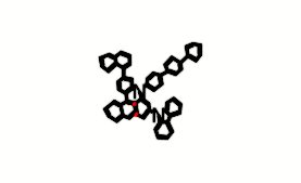 c1ccc(-c2ccc(-c3ccc(N(c4cccc(-n5c6ccccc6c6ccccc65)c4)c4cc(-c5cccc6ccccc56)ccc4-c4cccc5ccccc45)cc3)cc2)cc1